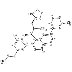 CN(C[C@@H]1CCCN1)C(=O)c1c(-c2cc(F)cc(CCO)c2)cnc2ccc(-c3cncc(C#N)c3)cc12